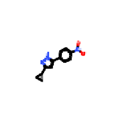 O=[N+]([O-])c1ccc(-c2cc(C3CC3)n[nH]2)cc1